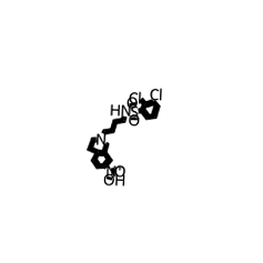 O=[N+](O)c1ccc2c(c1)CN(CCCCNS(=O)(=O)c1cccc(Cl)c1Cl)CC2